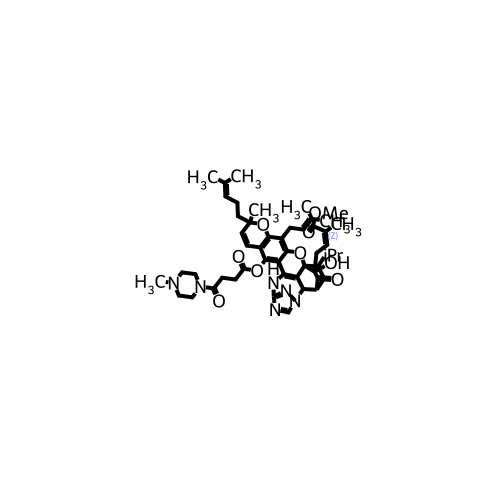 COC(=O)/C(C)=C\CC1(O)C(=O)C2CC(C(C)C)C13Oc1c(CC=C(C)C)c4c(c(OC(=O)CCC(=O)N5CCN(C)CC5)c1C1=C3C2n2cnc(n2)N1)C=CC(C)(CCC=C(C)C)O4